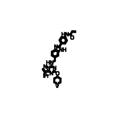 C=CC(=O)Nc1ccc(-c2nc3ccc(CNc4nc(OC5CCN(C)CC5)nc5c(C(C)C)cnn45)cc3[nH]2)cc1